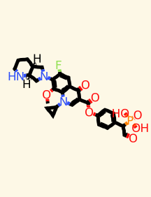 COc1c(N2C[C@@H]3CCCN[C@@H]3C2)c(F)cc2c(=O)c(C(=O)Oc3ccc(C(C=O)P(=O)(O)O)cc3)cn(C3CC3)c12